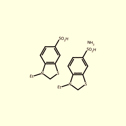 CCN1CSc2cc(S(=O)(=O)O)ccc21.CCN1CSc2cc(S(=O)(=O)O)ccc21.N